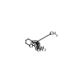 CCCCC/C=C\C/C=C\C/C=C\CCCCC(=O)OC[C@H](COP(=O)(O)OC[C@H](N)C(=O)O)OC(=O)CCCCCCCCCCCCCCCCC